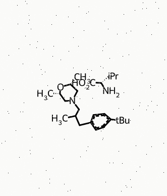 CC(C)[C@H](N)C(=O)O.CC(Cc1ccc(C(C)(C)C)cc1)CN1C[C@@H](C)O[C@@H](C)C1